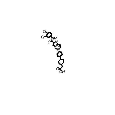 O=C(O)CC1CCC(c2ccc(N3C=CC4=NC(C(=O)Nc5ccc(Cl)c(Cl)c5)=C[N+]4C3)cc2)CC1